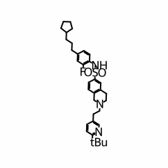 CC(C)(C)c1ccc(CCN2CCc3cc(S(=O)(=O)Nc4ccc(CCCC5CCCC5)cc4F)ccc3C2)cn1